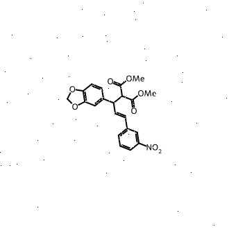 COC(=O)C(C(=O)OC)C(C=Cc1cccc([N+](=O)[O-])c1)c1ccc2c(c1)OCO2